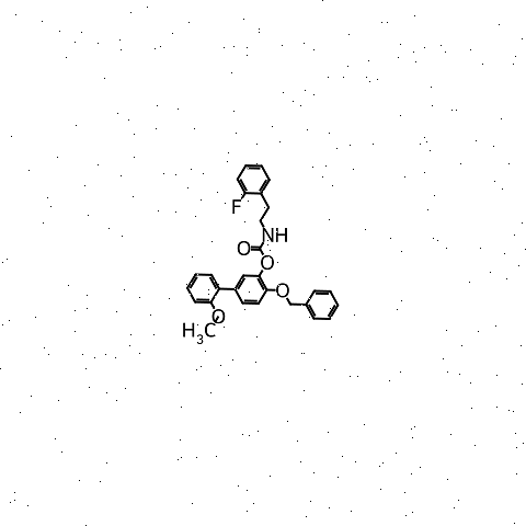 COc1ccccc1-c1ccc(OCc2ccccc2)c(OC(=O)NCCc2ccccc2F)c1